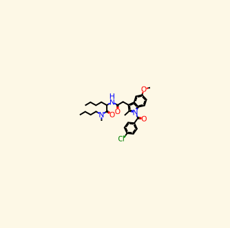 CCCCC(NC(=O)Cc1c(C)n(C(=O)c2ccc(Cl)cc2)c2ccc(OC)cc12)C(=O)N(C)CCCC